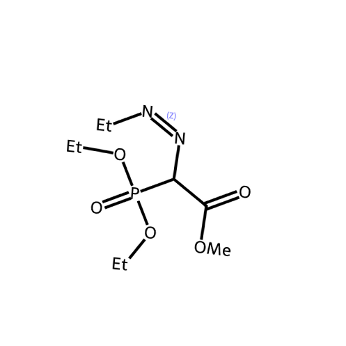 CC/N=N\C(C(=O)OC)P(=O)(OCC)OCC